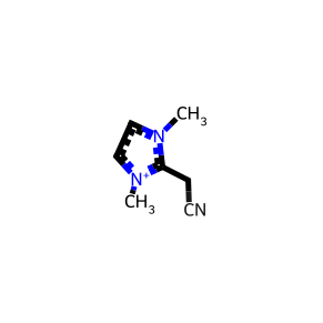 Cn1cc[n+](C)c1CC#N